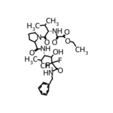 CCOC(=O)C(=O)N[C@H](C(=O)N1CCCC1C(=O)N[C@@H](C(C)C)C(O)C(F)(F)C(=O)NCc1ccccc1)C(C)C